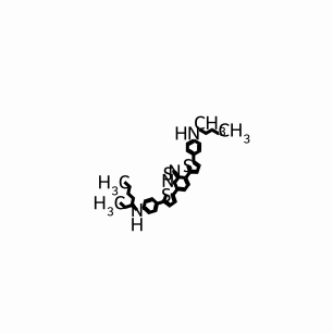 CCCCC(C)Nc1ccc(-c2ccc(-c3ccc(-c4ccc(-c5ccc(NC(CC)CCCC)cc5)s4)c4nsnc34)s2)cc1